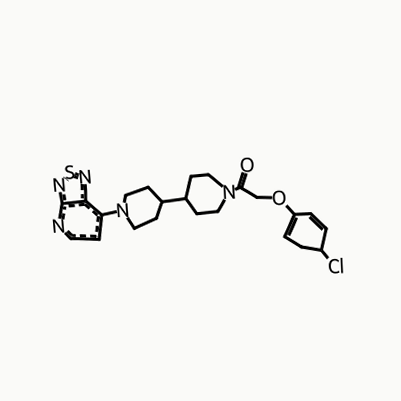 O=C(COC1=CCC(Cl)C=C1)N1CCC(C2CCN(c3ccnc4nsnc34)CC2)CC1